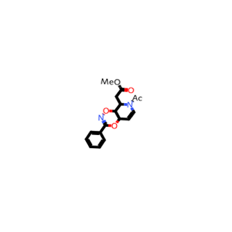 COC(=O)CC1C2ON=C(c3ccccc3)OC2C=CN1C(C)=O